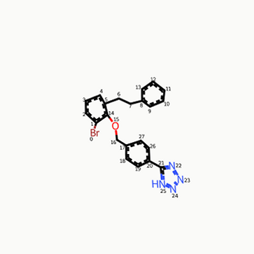 Brc1cccc(CCc2ccccc2)c1OCc1ccc(-c2nnn[nH]2)cc1